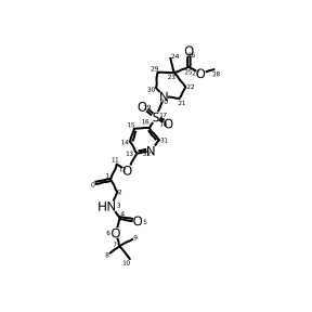 C=C(CNC(=O)OC(C)(C)C)COc1ccc(S(=O)(=O)N2CCC(C)(C(=O)OC)CC2)cn1